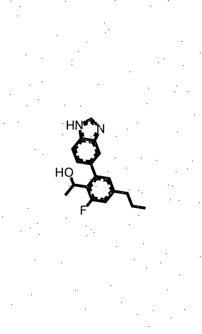 CCCc1cc(F)c(C(C)O)c(-c2ccc3[nH]cnc3c2)c1